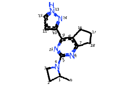 CC1CCN1c1nc2c(c(-c3cc[nH]n3)n1)CCC2